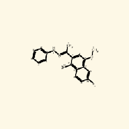 COc1cc(C(C)=NNc2ccccc2)c(Br)c2ccc(F)cc12